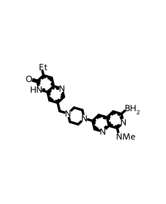 Bc1cc2cc(N3CCN(Cc4cnc5cc(CC)c(=O)[nH]c5c4)CC3)cnc2c(NC)n1